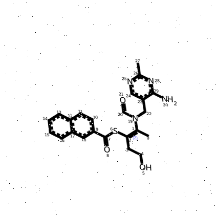 C/C(=C(\CCO)SC(=O)c1ccc2ccccc2c1)N(C=O)Cc1cnc(C)nc1N